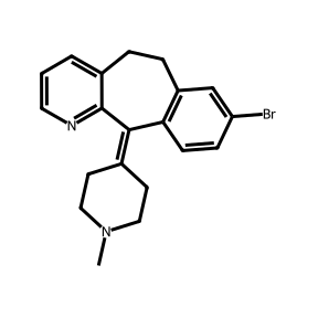 CN1CCC(=C2c3ccc(Br)cc3CCc3cccnc32)CC1